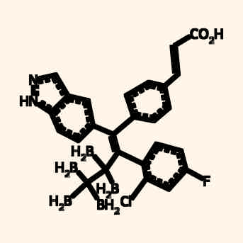 BC(B)(B)C(B)(B)/C(=C(/c1ccc(/C=C/C(=O)O)cc1)c1ccc2[nH]ncc2c1)c1ccc(F)cc1Cl